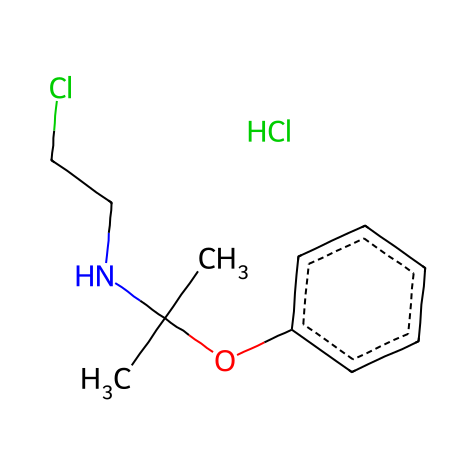 CC(C)(NCCCl)Oc1ccccc1.Cl